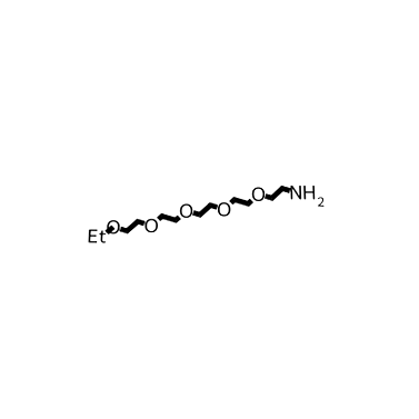 CCOCCOCCOCCOCCOCCN